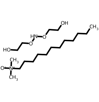 CCCCCCCCCCCC[N+](C)(C)[O-].OCCONOCCO